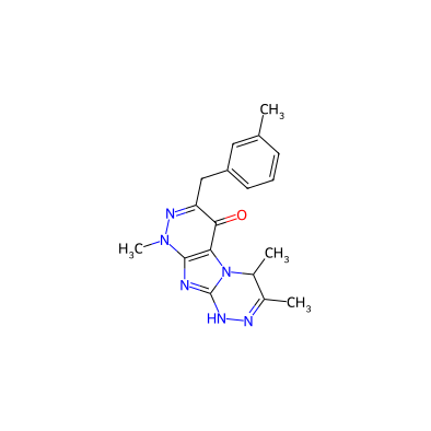 CC1=NNc2nc3c(c(=O)c(Cc4cccc(C)c4)nn3C)n2C1C